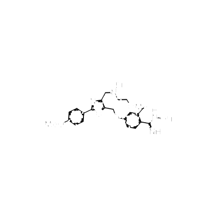 CCN(CCOC)Cc1nc(-c2ccc(OC)cc2)oc1COc1ccc(C(=N)NO)c(C)c1